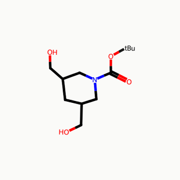 CC(C)(C)OC(=O)N1CC(CO)CC(CO)C1